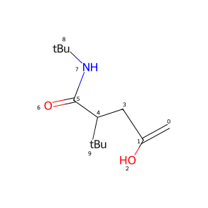 C=C(O)CC(C(=O)NC(C)(C)C)C(C)(C)C